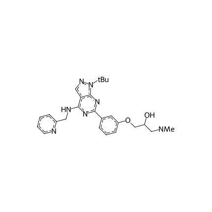 CNCC(O)COc1cccc(-c2nc(NCc3ccccn3)c3cnn(C(C)(C)C)c3n2)c1